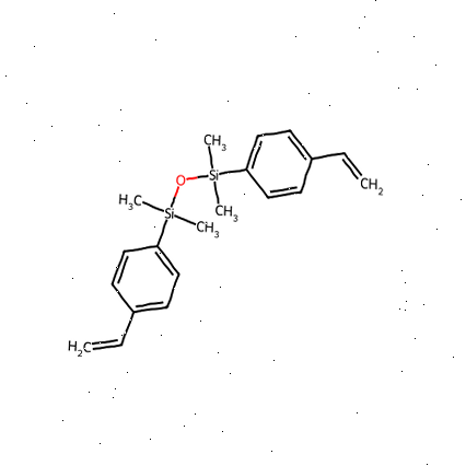 C=Cc1ccc([Si](C)(C)O[Si](C)(C)c2ccc(C=C)cc2)cc1